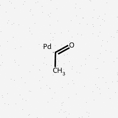 C[C]=O.[Pd]